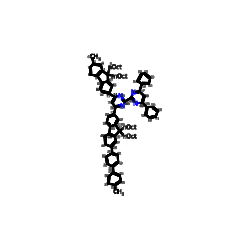 CCCCCCCCC1(CCCCCCCC)c2cc(C)ccc2-c2ccc(-c3cc(-c4ccc5c(c4)C(CCCCCCCC)(CCCCCCCC)c4cc(-c6ccc(-c7ccc(C)cc7)cc6)ccc4-5)nc(-c4nc(-c5ccccc5)cc(-c5ccccc5)n4)n3)cc21